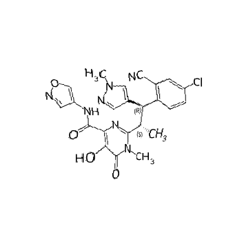 C[C@H](c1nc(C(=O)Nc2cnoc2)c(O)c(=O)n1C)[C@@H](c1cnn(C)c1)c1ccc(Cl)cc1C#N